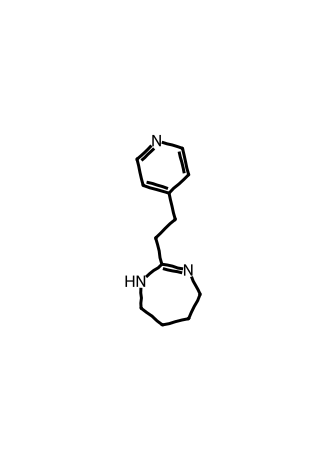 c1cc(CCC2=NCCCCN2)ccn1